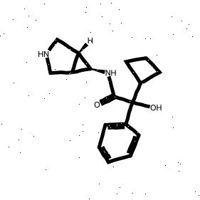 O=C(N[C@H]1C2CNC[C@@H]21)C(O)(c1ccccc1)C1CCC1